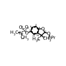 CCCOC1Oc2ccc(OS(=O)(=O)N(C)C)cc2C1(C)C